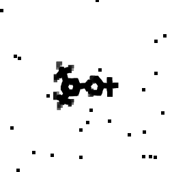 CC(C)(C)C1CSC(c2cc(C(F)(F)F)cc(C(F)(F)F)c2)SC1